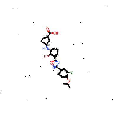 CC(C)Oc1ccc(-c2noc(-c3cccc(N[C@H]4CC[C@@H](C(=O)O)C4)c3Br)n2)cc1Cl